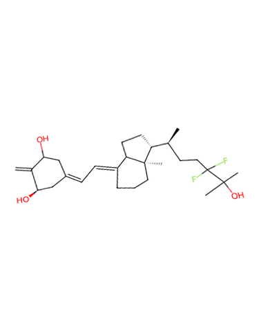 C=C1C(O)C/C(=C\C=C2/CCC[C@@]3(C)C2CC[C@@H]3[C@@H](C)CCC(F)(F)C(C)(C)O)C[C@H]1O